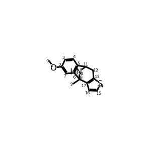 COc1ccc2c(c1)C1(C)NC2Cc2sccc21